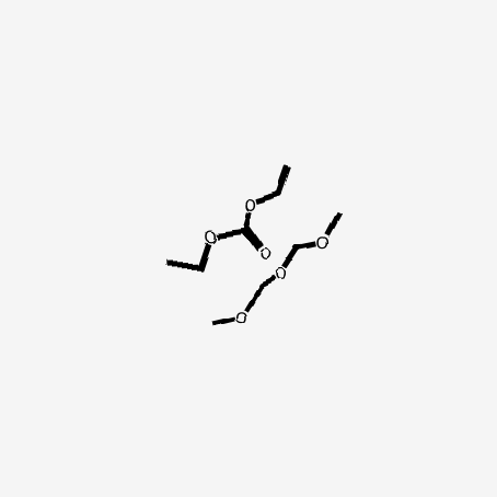 CCOC(=O)OCC.COCOCOC